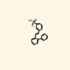 O=S(=O)(O)c1cccc(C=Cc2ccccc2-c2ccccc2)c1